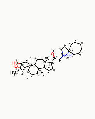 C[C@@]1(O)CC[C@@]2(CCO)[C@@H](CC[C@H]3[C@@H]4CC[C@H](C(=O)CN5CCC6(CCCCCC6)N5)[C@@]4(C)CC[C@@H]32)C1